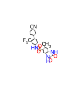 Cc1cc2[nH]c(=O)c(=O)[nH]c2cc1S(=O)(=O)Nc1ccc(-c2ccc(C#N)cc2)c(C(F)(F)F)c1